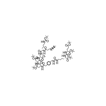 COC(=O)[C@H](CNC(=O)[C@H](CCCCNC(=O)OC(C)(C)C)NC(=O)CCN=[N+]=[N-])NC(=O)[C@H](CC(=O)OC(C)(C)C)NC(=O)[C@H](CC(=O)OC(C)(C)C)NC(=O)Cc1ccc(CNC(=O)NCCCC[C@H](NC(=O)N[C@@H](CCC(=O)OC(C)(C)C)C(=O)OC(C)(C)C)C(=O)OC(C)(C)C)cc1